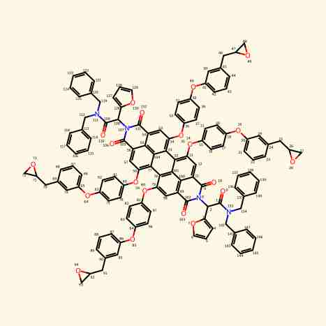 O=C(C(c1ccco1)N1C(=O)c2cc(Oc3ccc(Oc4cccc(CC5CO5)c4)cc3)c3c4c(Oc5ccc(Oc6cccc(CC7CO7)c6)cc5)cc5c6c(cc(Oc7ccc(Oc8cccc(CC9CO9)c8)cc7)c(c7c(Oc8ccc(Oc9cccc(CC%10CO%10)c9)cc8)cc(c2c37)C1=O)c64)C(=O)N(C(C(=O)N(Cc1ccccc1)Cc1ccccc1)c1ccco1)C5=O)N(Cc1ccccc1)Cc1ccccc1